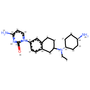 CCN(C1CCc2cc(-n3ccc(N)nc3=O)ccc2C1)[C@H]1CC[C@H](N)CC1